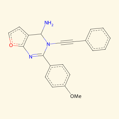 COc1ccc(C2=Nc3occc3C(N)N2C#Cc2ccccc2)cc1